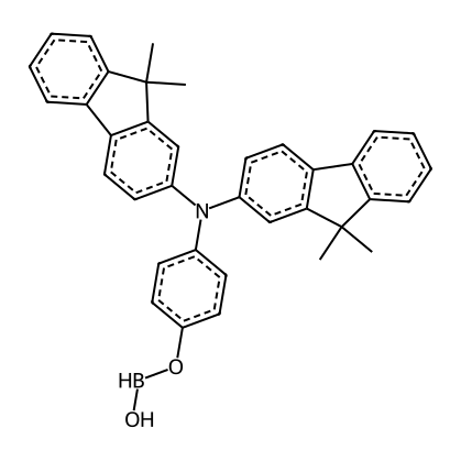 CC1(C)c2ccccc2-c2ccc(N(c3ccc(OBO)cc3)c3ccc4c(c3)C(C)(C)c3ccccc3-4)cc21